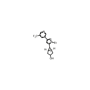 CCn1nc(-c2cncc(C(F)(F)F)c2)cc1C1[C@H]2CC(O)C[C@@H]12